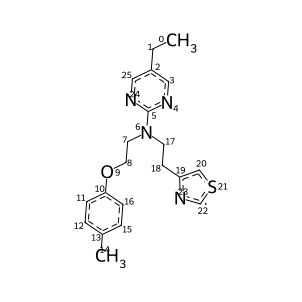 CCc1cnc(N(CCOc2ccc(C)cc2)CCc2cs[c]n2)nc1